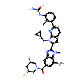 COc1cc(C(=O)N2C[C@H](N)C[C@@H](F)C2)cc2nc(-c3cc4ccc(-c5cccc(NC(N)=O)c5C)nc4n3CC3CC3)n(C)c12